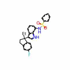 CCC1(c2c[nH]c3c(NS(=O)(=O)c4ccccc4)cccc23)CCc2cc(F)ccc21